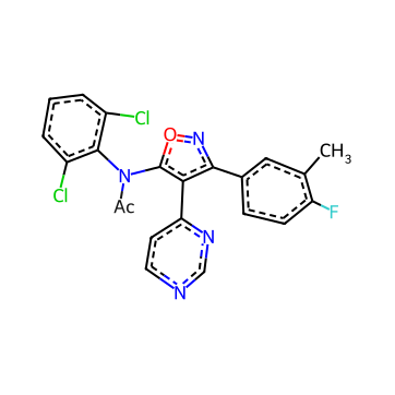 CC(=O)N(c1onc(-c2ccc(F)c(C)c2)c1-c1ccncn1)c1c(Cl)cccc1Cl